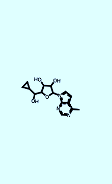 Cc1ncnc2c1ccn2C1OC(C(O)C2CC2)C(O)C1O